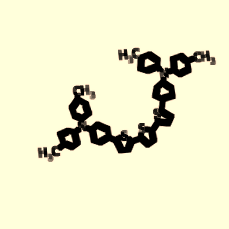 Cc1ccc(N(c2ccc(C)cc2)c2ccc(-c3ccc(-c4ccc(-c5ccc(-c6ccc(N(c7ccc(C)cc7)c7ccc(C)cc7)cc6)s5)s4)s3)cc2)cc1